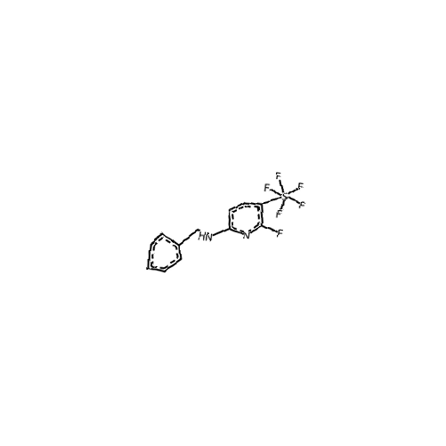 Fc1nc(NCc2ccccc2)ccc1S(F)(F)(F)(F)F